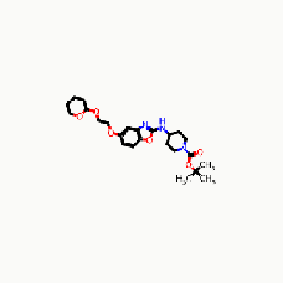 CC(C)(C)OC(=O)N1CCC(Nc2nc3cc(OCCOC4CCCCO4)ccc3o2)CC1